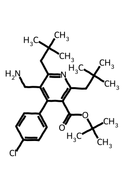 CC(C)(C)Cc1nc(CC(C)(C)C)c(C(=O)OC(C)(C)C)c(-c2ccc(Cl)cc2)c1CN